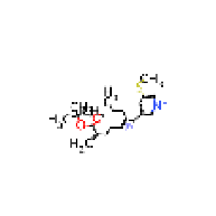 C=C(CC/C=C(\CCC)CC1=CC(SC)=C=[N+]=C1)C(=O)OC(C)(C)C